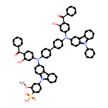 COc1cc(-n2c3ccccc3c3cc(N(c4ccc(-c5ccc(N(c6ccc(C(=O)c7ccccc7)c(O)c6)c6ccc7c(c6)c6ccccc6n7-c6ccccc6)cc5)cc4)c4ccc(C(=O)c5ccccc5)c(O)c4)ccc32)ccc1S(=O)(=O)O